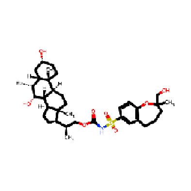 CC[C@H]1[C@@H](O)[C@@H]2[C@H](CC[C@]3(C)[C@@H]([C@H](C)COC(=O)NS(=O)(=O)c4ccc5c(c4)CCCC(C)(CO)O5)CC[C@@H]23)[C@@]2(C)CC[C@@H](O)C[C@@H]12